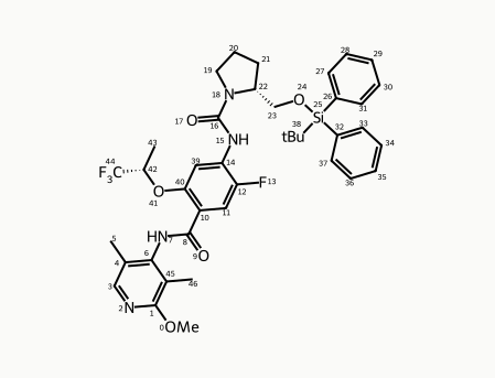 COc1ncc(C)c(NC(=O)c2cc(F)c(NC(=O)N3CCC[C@@H]3CO[Si](c3ccccc3)(c3ccccc3)C(C)(C)C)cc2O[C@@H](C)C(F)(F)F)c1C